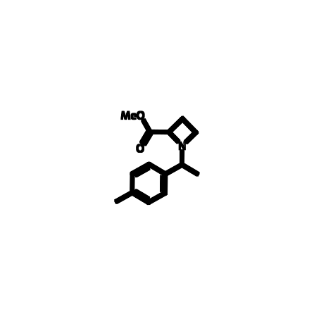 COC(=O)C1CCN1C(C)c1ccc(C)cc1